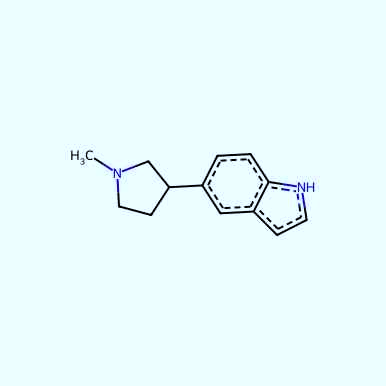 CN1CCC(c2ccc3[nH]ccc3c2)C1